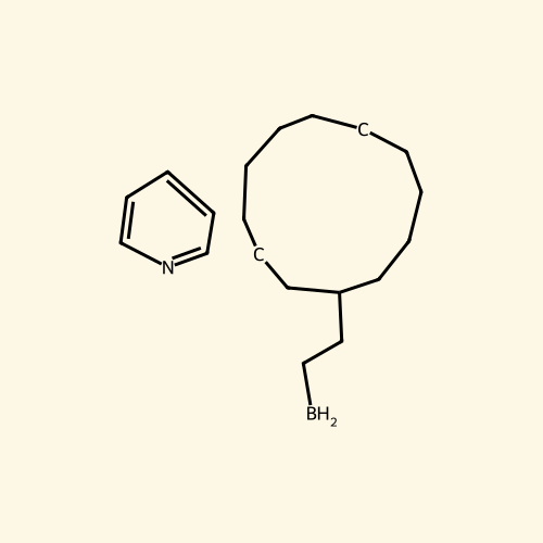 BCCC1CCCCCCCCCCC1.c1ccncc1